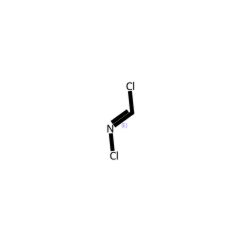 Cl/C=N/Cl